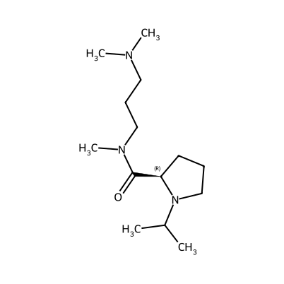 CC(C)N1CCC[C@@H]1C(=O)N(C)CCCN(C)C